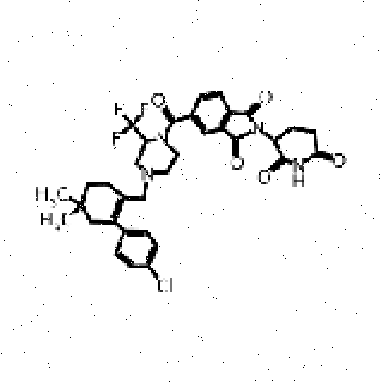 CC1(C)CCC(CN2CCN(C(=O)c3ccc4c(c3)C(=O)N(C3CCC(=O)NC3=O)C4=O)C(C(F)(F)F)C2)=C(c2ccc(Cl)cc2)C1